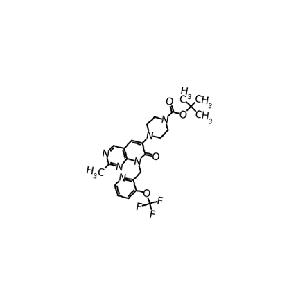 Cc1ncc2cc(N3CCN(C(=O)OC(C)(C)C)CC3)c(=O)n(Cc3ncccc3OC(F)(F)F)c2n1